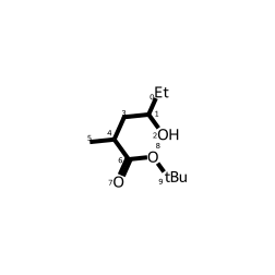 CCC(O)CC(C)C(=O)OC(C)(C)C